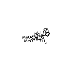 COc1cc2nc(C)nc(NC(C)c3ccc(-c4ccccc4OC(F)(F)F)s3)c2cc1OC